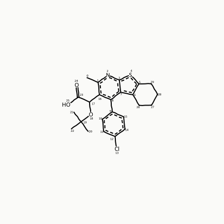 Cc1nc2sc3c(c2c(-c2ccc(Cl)cc2)c1C(OC(C)(C)C)C(=O)O)CCCC3